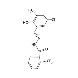 O=C(N/N=C/c1cc(Cl)cc(C(F)(F)F)c1O)c1ccccc1C(F)(F)F